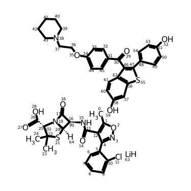 Cc1onc(-c2ccccc2Cl)c1C(=O)N[C@@H]1C(=O)N2[C@@H]1SC(C)(C)[C@@H]2C(=O)O.O=C(c1ccc(OCCN2CCCCC2)cc1)c1c(-c2ccc(O)cc2)sc2cc(O)ccc12.[LiH]